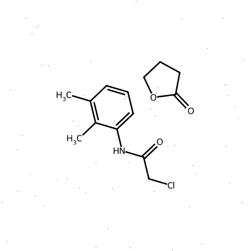 Cc1cccc(NC(=O)CCl)c1C.O=C1CCCO1